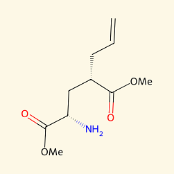 C=CC[C@@H](C[C@H](N)C(=O)OC)C(=O)OC